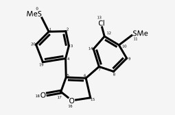 CSc1ccc(C2=C(c3ccc(SC)c(Cl)c3)COC2=O)cc1